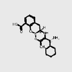 CC1=C([C@H](N)C2CCCCC2)N[C@H]2Cc3cccc(C(=O)O)c3OB2O1